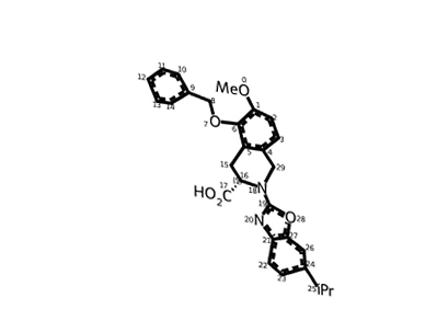 COc1ccc2c(c1OCc1ccccc1)C[C@@H](C(=O)O)N(c1nc3ccc(C(C)C)cc3o1)C2